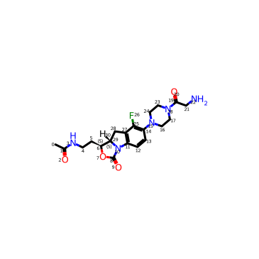 CC(=O)NCC[C@@H]1OC(=O)N2c3ccc(N4CCN(C(=O)CN)CC4)c(F)c3C[C@@H]12